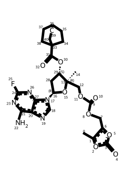 Cc1oc(=O)oc1COC(=O)OC[C@@]1(C)O[C@@H](n2cnc3c(N)nc(F)nc32)C[C@@H]1OC(=O)C12CCC(CC1)CC2